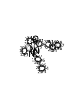 C1=C(c2cc(-c3nc(-c4ccccc4)nc(-c4ccc(-c5ccccc5)cc4)n3)c3c(c2)oc2ccccc23)CCc2c1ccc1ccccc21